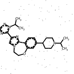 CC(C)N1CCC(c2ccc3c(c2)OCCn2cc(-c4ncnn4C(C)C)nc2-3)CC1